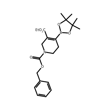 CCOC(=O)C1=C(B2OC(C)(C)C(C)(C)O2)CCN(C(=O)OCc2ccccc2)C1